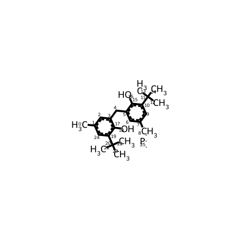 Cc1cc(Cc2cc(C)cc(C(C)(C)C)c2O)c(O)c(C(C)(C)C)c1.[P]